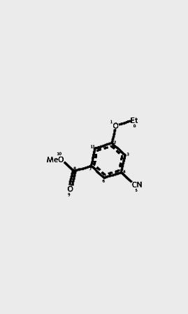 CCOc1cc(C#N)cc(C(=O)OC)c1